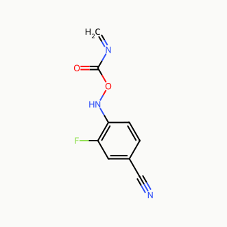 C=NC(=O)ONc1ccc(C#N)cc1F